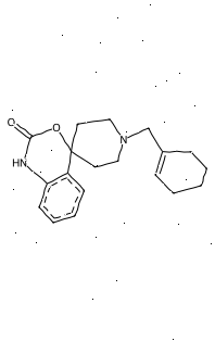 O=C1Nc2ccccc2C2(CCN(CC3=CCCCC3)CC2)O1